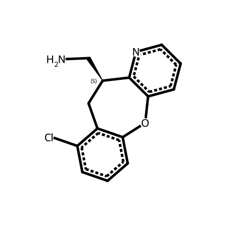 NC[C@@H]1Cc2c(Cl)cccc2Oc2cccnc21